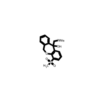 CNCC1(O)c2ccccc2COc2c1cccc2S(C)(=O)=O